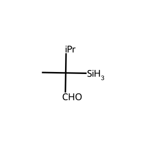 CC(C)C(C)([SiH3])C=O